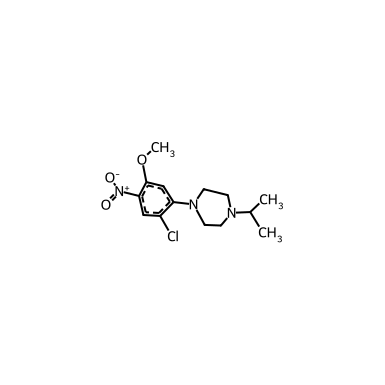 COc1cc(N2CCN(C(C)C)CC2)c(Cl)cc1[N+](=O)[O-]